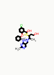 C/C(=C(CCO)/[SH]=C(\O)c1cc(Cl)ccc1Oc1ccccc1)N(C=O)Cc1cnc(C)nc1N